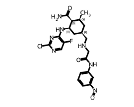 C[C@H]1C[C@@H](CNCC(=O)Nc2cccc(N=O)c2)C[C@@H](Nc2nc(Cl)ncc2F)[C@H]1C(N)=O